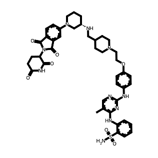 Cc1cnc(Nc2ccc(OCCN3CCC(CN[C@H]4CCCN(c5ccc6c(c5)C(=O)N(C5CCC(=O)NC5=O)C6=O)C4)CC3)cc2)nc1Nc1ccccc1S(N)(=O)=O